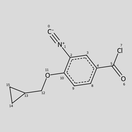 [C-]#[N+]c1cc(C(=O)Cl)ccc1OCC1CC1